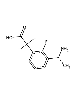 C[C@@H](N)c1cccc(C(F)(F)C(=O)O)c1F